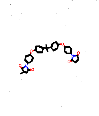 CC1=CC(=O)N(c2ccc(Oc3ccc(C(C)(C)c4ccc(Oc5ccc(N6C(=O)C=CC6=O)cc5)cc4)cc3)cc2)C1=O